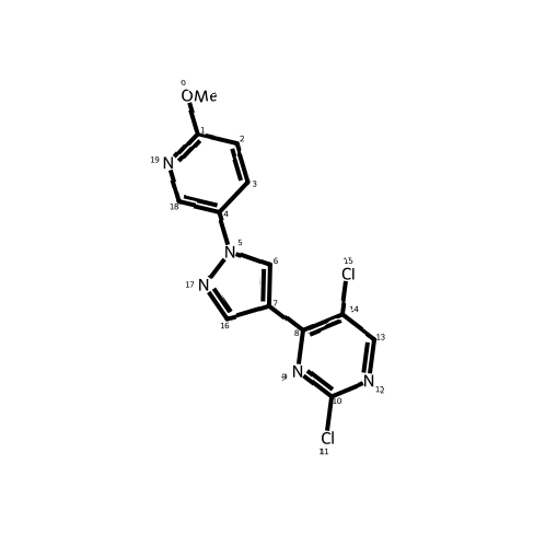 COc1ccc(-n2cc(-c3nc(Cl)ncc3Cl)cn2)cn1